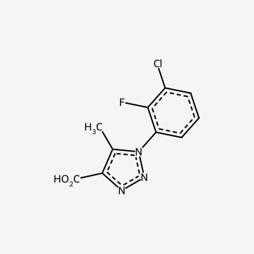 Cc1c(C(=O)O)nnn1-c1cccc(Cl)c1F